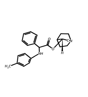 Cc1ccc(NC(C(=O)O[C@H]2CN3CCC2CC3)c2ccccc2)cc1